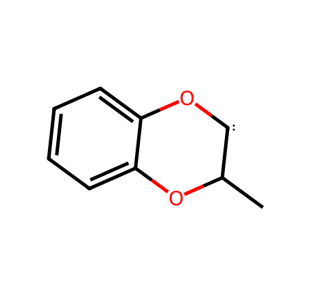 CC1[C]Oc2ccccc2O1